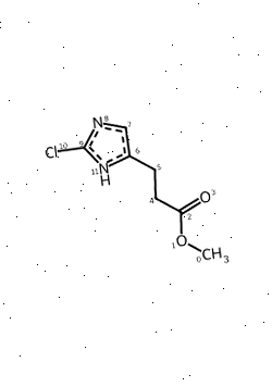 COC(=O)CCc1cnc(Cl)[nH]1